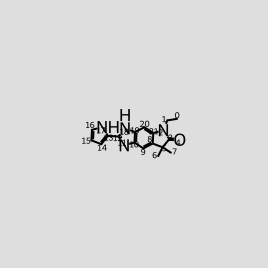 CCN1C(=O)C(C)(C)c2cc3nc(-c4ccc[nH]4)[nH]c3cc21